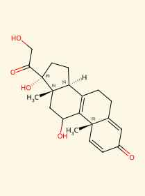 C[C@]12C=CC(=O)C=C1CCC1=C2C(O)C[C@@]2(C)[C@H]1CC[C@]2(O)C(=O)CO